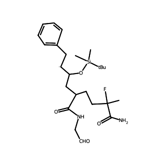 CC(F)(CCC(CC([CH]Cc1ccccc1)O[Si](C)(C)C(C)(C)C)C(=O)NCC=O)C(N)=O